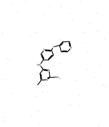 Cc1cc(Nc2ccc(Sc3ccncc3)nc2)nc(N)n1